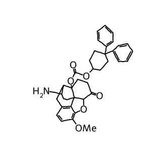 COc1ccc2c3c1OC1C(=O)CCC4(OC(=O)OC5CCC(c6ccccc6)(c6ccccc6)CC5)C(C2)C(N)CCC314